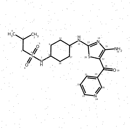 CC(C)CS(=O)(=O)NC1CCC(Nc2nc(N)c(C(=O)c3cccnc3)s2)CC1